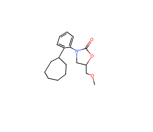 COCC1CN(c2ccccc2C2CCCCCC2)C(=O)O1